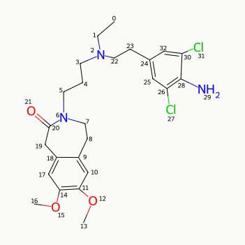 CCN(CCCN1CCc2cc(OC)c(OC)cc2CC1=O)CCc1cc(Cl)c(N)c(Cl)c1